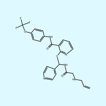 C=CCNCC(=O)NC(Sc1ncccc1C(=O)Nc1ccc(OC(F)(F)F)cc1)c1ccncc1